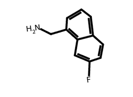 NCc1cccc2ccc(F)cc12